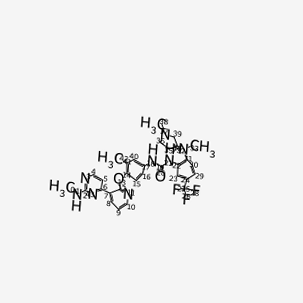 CNc1nccc(-c2cccnc2Oc2ccc(NC(=O)Nc3cc(C(F)(F)F)ccc3N(C)[C@@H]3CCN(C)C3)cc2C)n1